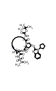 CN(C)S(=O)(=O)NC(=O)[C@@]12C[C@H]1/C=C\CCCCC[C@H](NC(=O)OC(C)(C)C)C(=O)N1C[C@H](Oc3nc4ccccc4n3C3CCCC3)C[C@H]1C(=O)N2